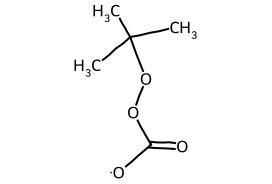 CC(C)(C)OOC([O])=O